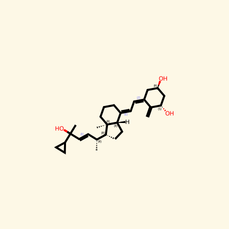 C=C1/C(=C\C=C2/CCC[C@]3(C)[C@@H]([C@H](C)/C=C/C(C)(O)C4CC4)CC[C@@H]23)C[C@@H](O)C[C@@H]1O